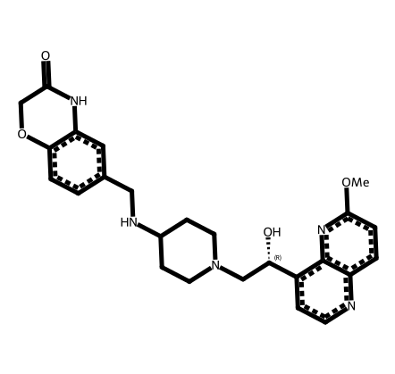 COc1ccc2nccc([C@@H](O)CN3CCC(NCc4ccc5c(c4)NC(=O)CO5)CC3)c2n1